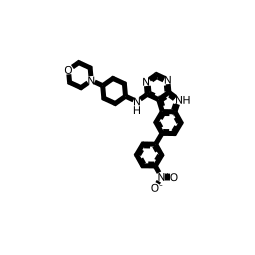 O=[N+]([O-])c1cccc(-c2ccc3[nH]c4ncnc(NC5CCC(N6CCOCC6)CC5)c4c3c2)c1